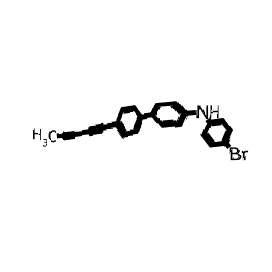 CC#CC#Cc1ccc(-c2ccc(Nc3ccc(Br)cc3)cc2)cc1